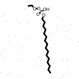 CCCCCCCCCCCCCCCCOP(=O)(O)OOCC